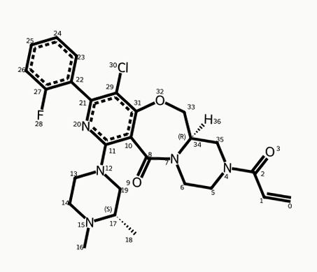 C=CC(=O)N1CCN2C(=O)c3c(N4CCN(C)[C@@H](C)C4)nc(-c4ccccc4F)c(Cl)c3OC[C@H]2C1